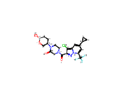 O=C(c1nn2c(C(F)(F)F)cc(C3CC3)cc2c1Cl)N1CCN([C@@H]2CCB(O)OC2)C(=O)C1